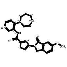 COc1ccc2c(c1)C(=O)N(c1csc(C(=O)Nc3cnccc3N3CCCNCC3)n1)C2